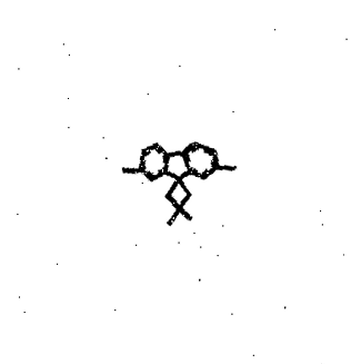 Cc1ccc2c(c1)C1(CC(C)(C)C1)c1cc(C)ccc1-2